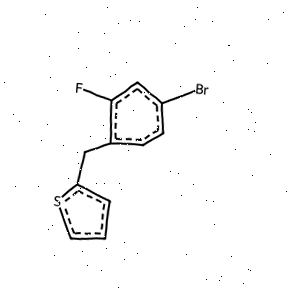 Fc1cc(Br)ccc1Cc1cccs1